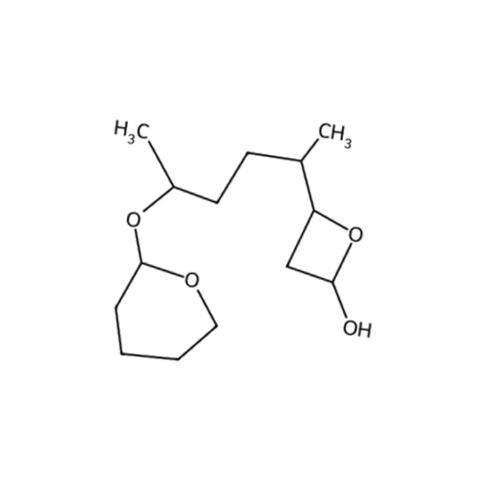 CC(CCC(C)C1CC(O)O1)OC1CCCCO1